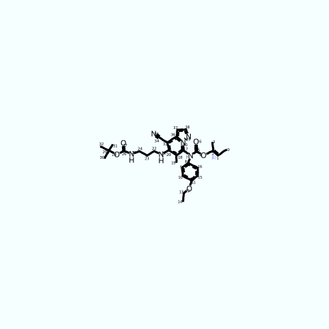 C/C=C(\C)OC(=O)N(c1ccc(OCC)cc1)c1c(C)c(NCCCNC(=O)OC(C)(C)C)c(C#N)c2ccnn12